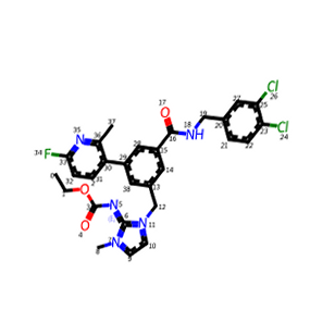 CCOC(=O)/N=c1\n(C)ccn1Cc1cc(C(=O)NCc2ccc(Cl)c(Cl)c2)cc(-c2ccc(F)nc2C)c1